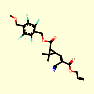 C=CCOC(=O)/C(C#N)=C/C1C(C(=O)OCc2c(F)c(F)c(COC)c(F)c2F)C1(C)C